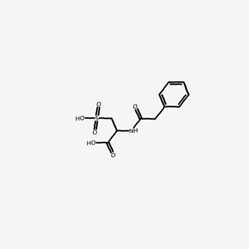 O=C(Cc1ccccc1)NC(CS(=O)(=O)O)C(=O)O